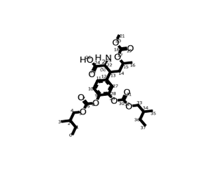 CCC(C)COC(=O)Oc1ccc(C(CC(C)OC(=O)OC)[C@H](N)C(=O)O)cc1OC(=O)OCC(C)CC